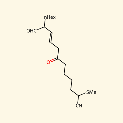 CCCCCCC(C=O)C=CCC(=O)CCCCC(C#N)SC